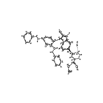 Cn1c(=O)n(-c2ccc(OCc3ccccc3)nc2OCc2ccccc2)c2ccc([C@@H]3CN(C(=O)OC(C)(C)C)CC[C@H]3F)cc21